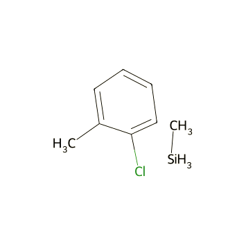 C[SiH3].Cc1ccccc1Cl